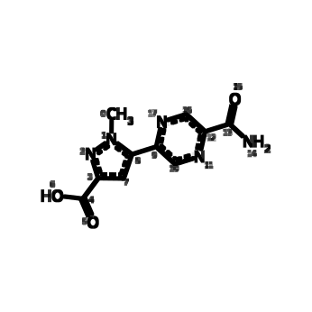 Cn1nc(C(=O)O)cc1-c1cnc(C(N)=O)cn1